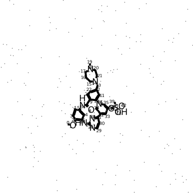 COc1ccc(NC(=O)c2ccc(CN3CCCN(C)CC3)cc2)cc1Nc1nccc(-c2cccnc2)n1.CS(=O)(=O)O